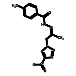 CC(Cn1nnc([N+](=O)[O-])n1)=NNC(=O)c1ccc(C)cc1